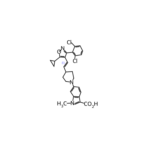 Cn1cc(C(=O)O)c2ccc(N3CCC(/C=C/c4c(-c5c(Cl)cccc5Cl)noc4C4CC4)CC3)cc21